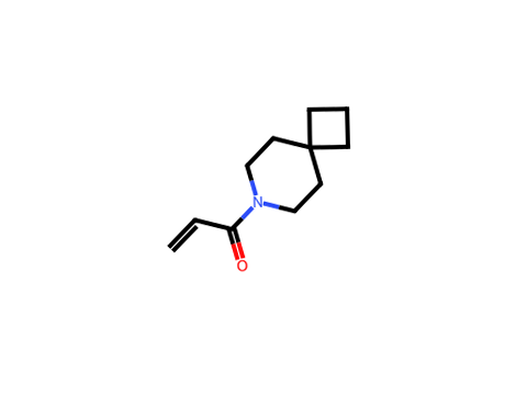 C=CC(=O)N1CCC2(CCC2)CC1